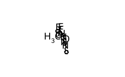 COc1cccc(C(F)(F)F)c1CN1CCN(C(=O)CN2CCN(CCc3ccccc3)CC2)CC1